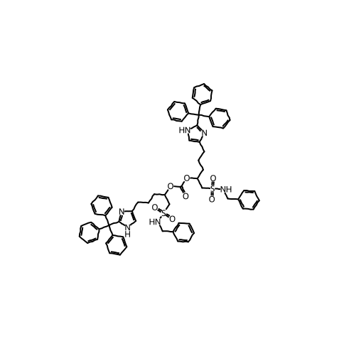 O=C(OC(CCCc1c[nH]c(C(c2ccccc2)(c2ccccc2)c2ccccc2)n1)CS(=O)(=O)NCc1ccccc1)OC(CCCc1c[nH]c(C(c2ccccc2)(c2ccccc2)c2ccccc2)n1)CS(=O)(=O)NCc1ccccc1